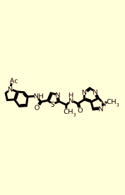 CC(=O)N1CCc2ccc(NC(=O)c3cnc(C(C)NC(=O)c4ncnc5c4cnn5C)s3)cc21